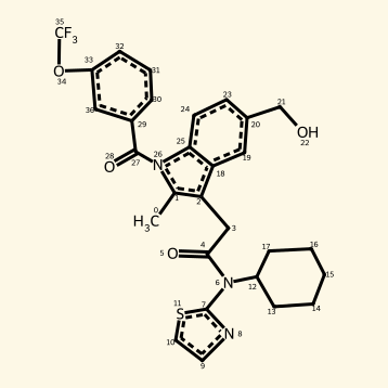 Cc1c(CC(=O)N(c2nccs2)C2CCCCC2)c2cc(CO)ccc2n1C(=O)c1cccc(OC(F)(F)F)c1